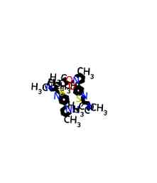 CC(CN(C)C)c1nc2cc([C@H]3CC[C@H](C)CN3)ccc2s1.C[C@H]1CC[C@H](c2ccc3sc([C@@H](C)CN(C)C)nc3c2)N(C(=O)OC(C)(C)C)C1